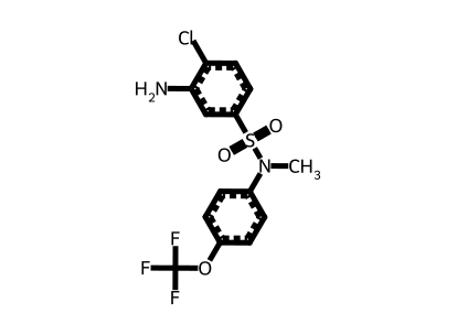 CN(c1ccc(OC(F)(F)F)cc1)S(=O)(=O)c1ccc(Cl)c(N)c1